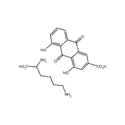 NCCCCC(N)C(=O)O.O=C(O)c1cc(O)c2c(c1)C(=O)c1cccc(O)c1C2=O